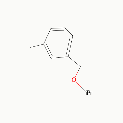 Cc1cccc(COC(C)C)c1